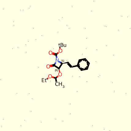 CCOC(C)O[C@H]1C(=O)N(C(=O)OC(C)(C)C)[C@H]1C=Cc1ccccc1